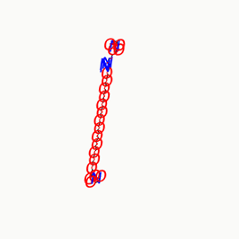 O=C(CCCCn1cc(COCCOCCOCCOCCOCCOCCOCCOCCOCCOCCOCCOCCOCCC(=O)ON2C(=O)CCC2=O)nn1)ON1C(=O)CCC1=O